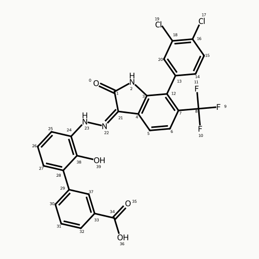 O=C1Nc2c(ccc(C(F)(F)F)c2-c2ccc(Cl)c(Cl)c2)C1=NNc1cccc(-c2cccc(C(=O)O)c2)c1O